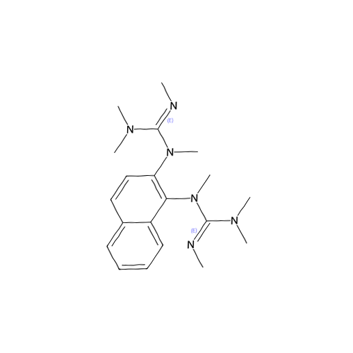 C/N=C(\N(C)C)N(C)c1ccc2ccccc2c1N(C)/C(=N/C)N(C)C